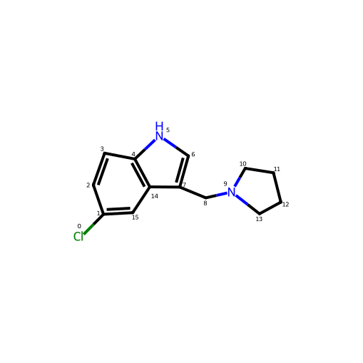 Clc1ccc2[nH]cc(CN3CCCC3)c2c1